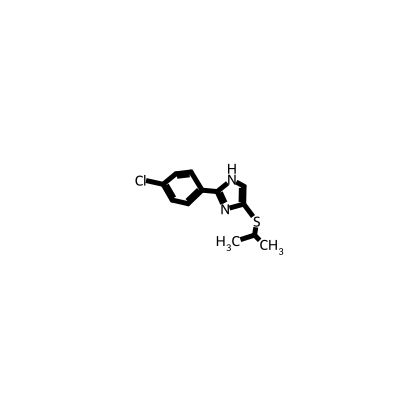 CC(C)Sc1c[nH]c(-c2ccc(Cl)cc2)n1